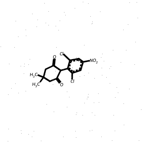 CC1(C)CC(=O)C(c2c(Cl)cc([N+](=O)[O-])cc2Cl)C(=O)C1